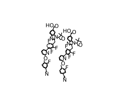 CC1(C)COCC1n1c(Cc2c(F)cc(-c3cccc(OCc4ccc(C#N)cc4F)n3)c(F)c2F)nc2ccc(C(=O)O)cc21.CC1(C)COCC1n1c(Cc2c(F)cc(-c3cccc(OCc4ccc(C#N)cc4F)n3)c(F)c2F)nc2ccc(C(=O)O)cc21